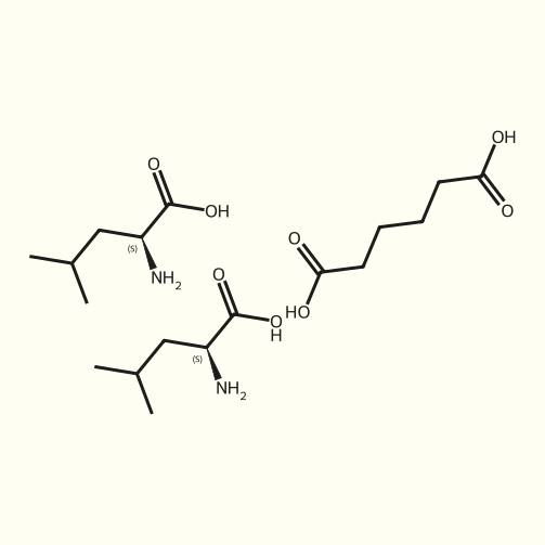 CC(C)C[C@H](N)C(=O)O.CC(C)C[C@H](N)C(=O)O.O=C(O)CCCCC(=O)O